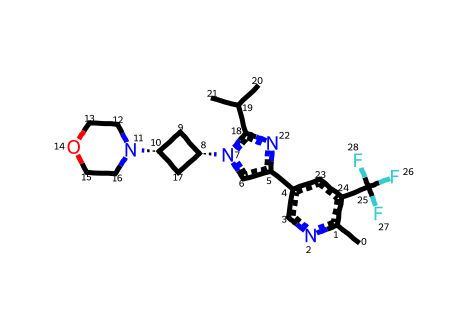 Cc1ncc(-c2cn([C@H]3C[C@@H](N4CCOCC4)C3)c(C(C)C)n2)cc1C(F)(F)F